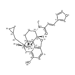 CN(C(=O)/C=C/c1ccoc1)[C@H]1CC[C@H]2[C@H]3Cc4c(O)ccc5c4[C@@]2(CCN3CC2CC2)[C@H]1O5